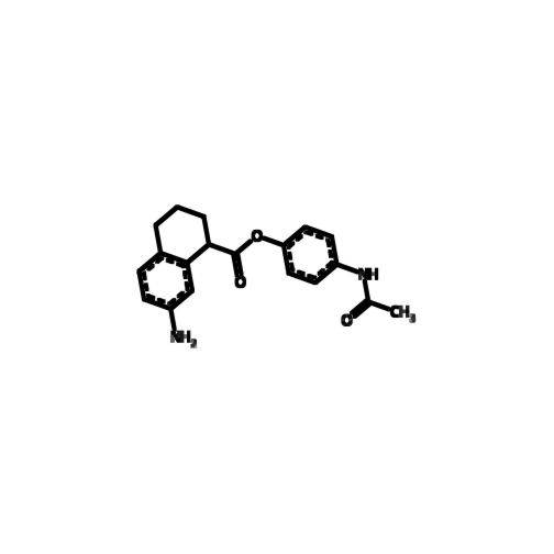 CC(=O)Nc1ccc(OC(=O)C2CCCc3ccc(N)cc32)cc1